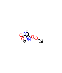 COC(=O)c1nc(C)cc2c(OCOCC[Si](C)(C)C)nn(C3CC3)c12